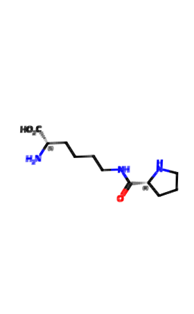 N[C@@H](CCCCNC(=O)[C@H]1CCCN1)C(=O)O